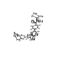 CCC(C)(c1ccc2ncccc2c1)c1cnc2ncc(-c3ccc(C(=O)NC4CCC4)cc3)nn12